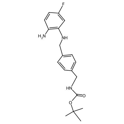 CC(C)(C)OC(=O)NCc1ccc(CNc2cc(F)ccc2N)cc1